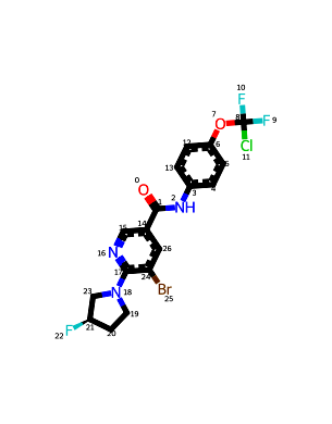 O=C(Nc1ccc(OC(F)(F)Cl)cc1)c1cnc(N2CC[C@@H](F)C2)c(Br)c1